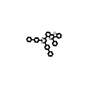 c1ccc(-c2ccc(-c3cc(-c4cccc5c4nc(-c4ccccc4)c4c6ccccc6oc54)nc(-c4ccc(-c5ccccc5)cc4)n3)cc2)cc1